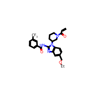 C=CC(=O)N1CCCC(n2c(NC(=O)c3cccc(C(F)(F)F)c3)nc3cc(COCC)ccc32)C1